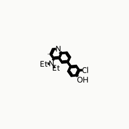 CCN(CC)c1[c]cnc2ccc(-c3ccc(O)c(Cl)c3)cc12